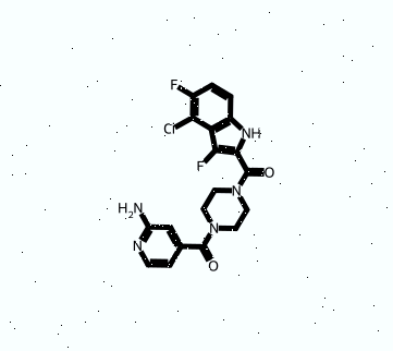 Nc1cc(C(=O)N2CCN(C(=O)c3[nH]c4ccc(F)c(Cl)c4c3F)CC2)ccn1